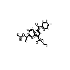 CCOC(=O)c1cc(C(=O)c2ccccc2)n2ccc(C(=O)OC(C)C)cc12